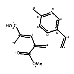 C=C(C=C(C)C(=O)O)C(=O)OC.C=Cc1ccc(C)nc1